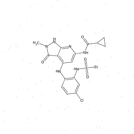 CCS(=O)(=O)Nc1cc(Cl)ccc1Nc1cc(NC(=O)C2CC2)nc2[nH]n(C)c(=O)c12